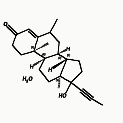 CC#CC1(O)CC[C@H]2[C@@H]3CC(C)C4=CC(=O)CC[C@]4(C)[C@@H]3CC[C@@]21C.O